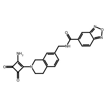 Nc1c(N2CCc3ccc(CNC(=O)c4ccc5nonc5c4)cc3C2)c(=O)c1=O